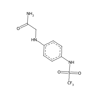 NC(=O)CNc1ccc(NS(=O)(=O)C(F)(F)F)cc1